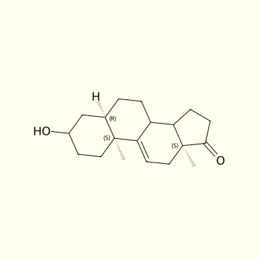 C[C@]12CC=C3C(CC[C@@H]4CC(O)CC[C@]34C)C1CCC2=O